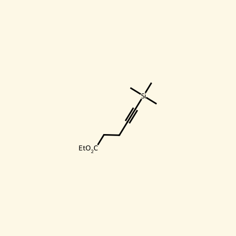 CCOC(=O)CCC#C[Si](C)(C)C